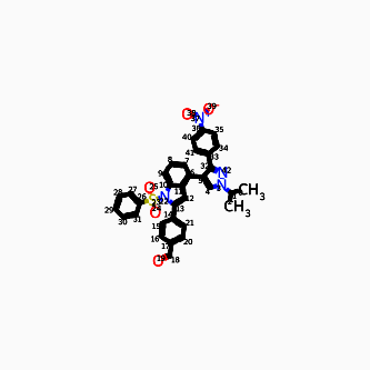 CC(C)n1cc(-c2cccc3c2cc(-c2ccc(C=O)cc2)n3S(=O)(=O)c2ccccc2)c(-c2ccc([N+](=O)[O-])cc2)n1